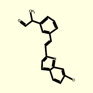 C[C](C=O)c1cccc(C=Cc2ccc3ccc(Cl)cc3n2)c1